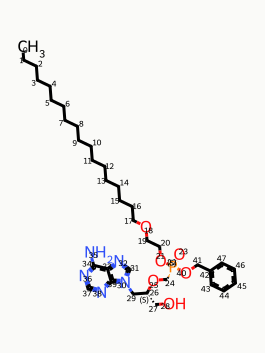 CCCCCCCCCCCCCCCCCCOCCO[P@](=O)(CO[C@H](CO)Cn1cnc2c(N)ncnc21)OCc1ccccc1